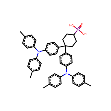 Cc1ccc(N(c2ccc(C)cc2)c2ccc(C3(c4ccc(N(c5ccc(C)cc5)c5ccc(C)cc5)cc4)CCC(P(=O)(O)O)CC3)cc2)cc1